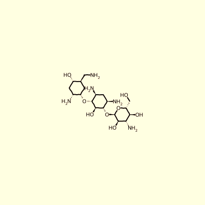 NC[C@H]1C[C@H](O[C@H]2[C@H](O)[C@@H](O[C@H]3O[C@H](CO)[C@@H](O)[C@H](N)[C@H]3O)[C@H](N)C[C@@H]2N)[C@H](N)C[C@@H]1O